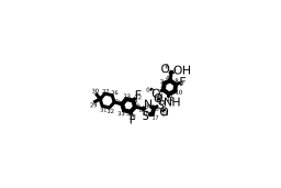 COc1cc(C(=O)O)c(F)cc1NS(=O)(=O)c1csc(-c2c(F)cc(C3CCC(C)(C)CC3)cc2F)n1